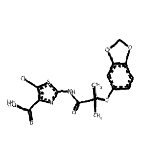 CC(C)(Oc1ccc2c(c1)OCO2)C(=O)Nc1nc(C(=O)O)c(Cl)s1